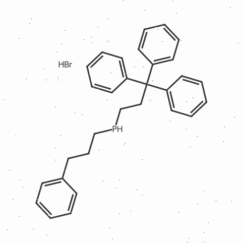 Br.c1ccc(CCCPCCC(c2ccccc2)(c2ccccc2)c2ccccc2)cc1